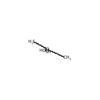 CCCCCCCCCCCCCCCCOC(CCCCCCCCCCC)C(O)S